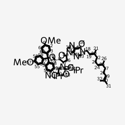 COc1ccc(C(OC[C@@H]2O[C@@H](n3cnc4c(=O)n(C/C=C(\C)CC/C=C(\C)CCC=C(C)C)cnc43)C[C@@H]2N(CCC#N)P(OC(C)C)OC(C)C)(c2ccccc2)c2ccc(OC)cc2)cc1